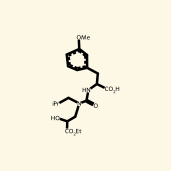 CCOC(=O)C(O)CN(CC(C)C)C(=O)NC(Cc1cccc(OC)c1)C(=O)O